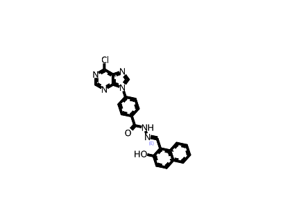 O=C(N/N=C/c1c(O)ccc2ccccc12)c1ccc(-n2cnc3c(Cl)ncnc32)cc1